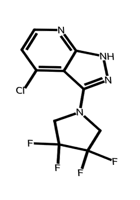 FC1(F)CN(c2n[nH]c3nccc(Cl)c23)CC1(F)F